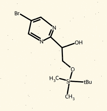 CC(C)(C)[Si](C)(C)OCC(O)c1ncc(Br)cn1